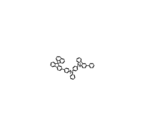 c1ccc(-c2ccc3c(c2)c2ccccc2n3-c2ccc(N(c3ccccc3)c3ccc(-c4ccc5c(c4)C4(c6ccccc6-5)c5cccc6cccc4c56)cc3)cc2)cc1